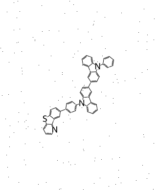 c1ccc(-n2c3ccccc3c3cc(-c4ccc5c(c4)c4ccccc4n5-c4ccc(-c5ccc6sc7cccnc7c6c5)cc4)ccc32)cc1